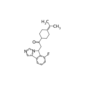 CC(C)=C1CCC(C(=O)CC2c3c(F)cccc3-c3cncn32)CC1